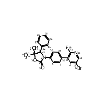 CC1(C)OC(=O)N(c2ccc(-c3cc(Br)cnc3F)cc2)C1c1ccccc1